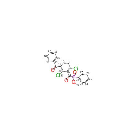 COP(=O)(C(=O)c1c(Cl)ccc(C(=O)c2ccccc2)c1Cl)c1ccccc1